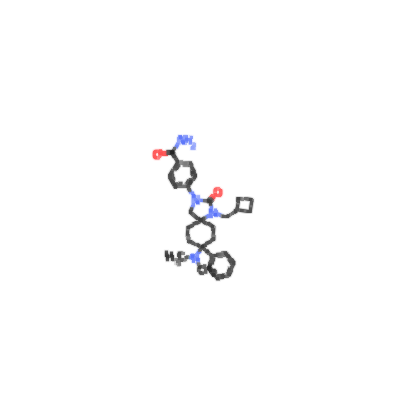 CN(C)C1(c2ccccc2)CCC2(CC1)CN(c1ccc(C(N)=O)cc1)C(=O)N2CC1CCC1